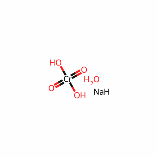 O.[NaH].[O]=[Cr](=[O])([OH])[OH]